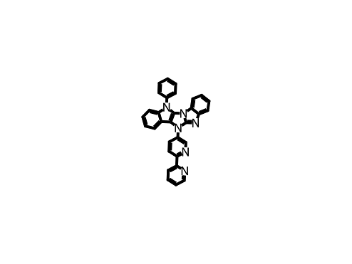 c1ccc(-n2c3ccccc3c3c2n2c4ccccc4nc2n3-c2ccc(-c3ccccn3)nc2)cc1